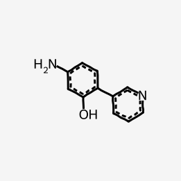 Nc1ccc(-c2cccnc2)c(O)c1